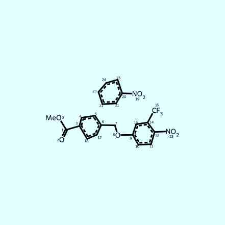 COC(=O)c1ccc(COc2ccc([N+](=O)[O-])c(C(F)(F)F)c2)cc1.O=[N+]([O-])c1ccccc1